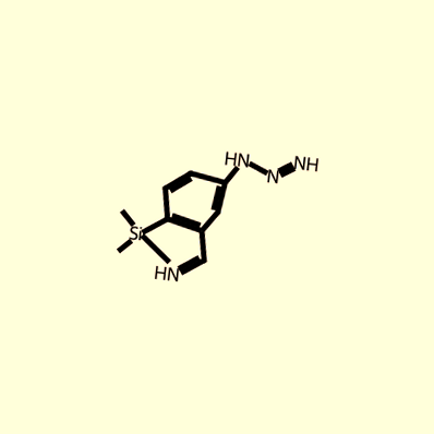 C[Si](C)(C)c1ccc(NN=N)cc1C=N